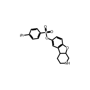 CC(C)c1ccc(S(=O)(=O)Oc2ccc3c(c2)C2CCNCC2O3)cc1